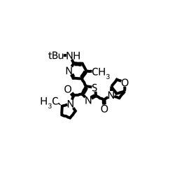 Cc1cc(NC(C)(C)C)ncc1-c1sc(C(=O)N2CC3CC2CO3)nc1C(=O)N1CCC[C@@H]1C